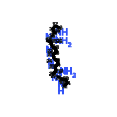 Nn1c(-c2ccc(-c3ccc(-c4cnc([C@@H]5CCCN5)n4N)nn3)nn2)cnc1[C@@H]1CCCN1